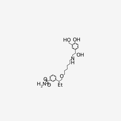 CCC(COCCCCCCNC[C@@H](O)c1ccc(O)c(CO)c1)c1cccc(S(N)(=O)=O)c1